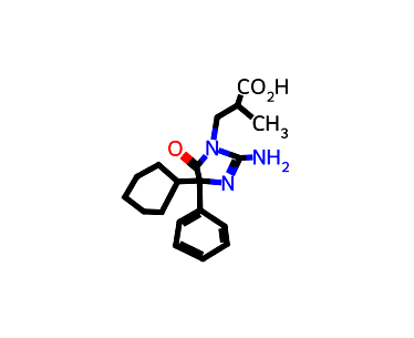 CC(CN1C(=O)C(c2ccccc2)(C2CCCCC2)N=C1N)C(=O)O